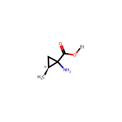 CCOC(=O)C1(N)C[C@@H]1C